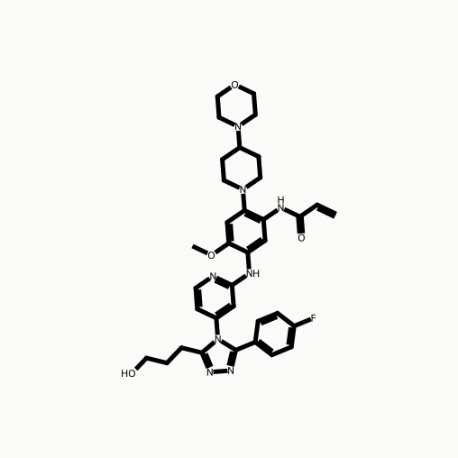 C=CC(=O)Nc1cc(Nc2cc(-n3c(CCCO)nnc3-c3ccc(F)cc3)ccn2)c(OC)cc1N1CCC(N2CCOCC2)CC1